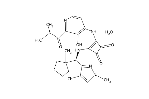 CN(C)C(=O)c1nccc(Nc2c(N[C@@H](c3nn(C)cc3Cl)C3(C)CCCC3)c(=O)c2=O)c1O.O